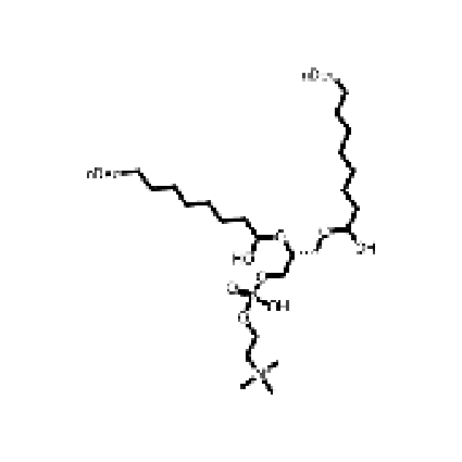 CCCCCCCCCCCCCCCCCC(O)OC[C@H](COP(=O)(O)OCC[N+](C)(C)C)OC(O)CCCCCCCCCCCCCCCCC